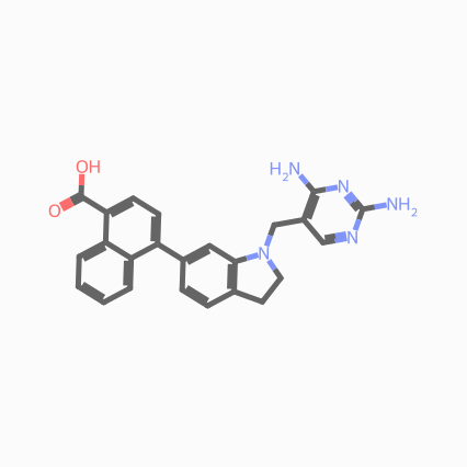 Nc1ncc(CN2CCc3ccc(-c4ccc(C(=O)O)c5ccccc45)cc32)c(N)n1